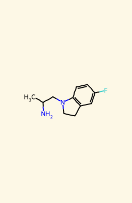 CC(N)CN1CCc2cc(F)ccc21